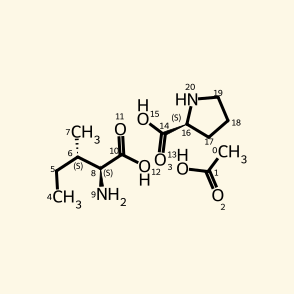 CC(=O)O.CC[C@H](C)[C@H](N)C(=O)O.O=C(O)[C@@H]1CCCN1